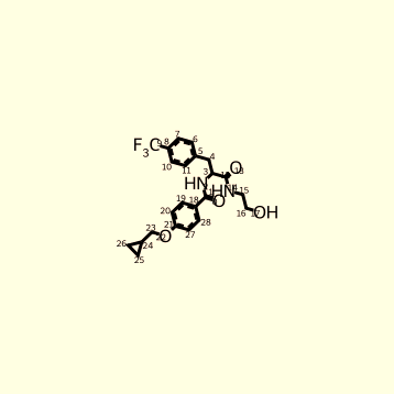 O=C(NC(Cc1ccc(C(F)(F)F)cc1)C(=O)NCCO)c1ccc(OCC2CC2)cc1